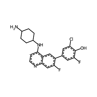 NC1CCC(Nc2[c]cnc3cc(F)c(-c4cc(F)c(O)c(Cl)c4)cc23)CC1